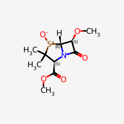 COC(=O)[C@@H]1N2C(=O)[C@H](OC)[C@H]2[S+]([O-])C1(C)C